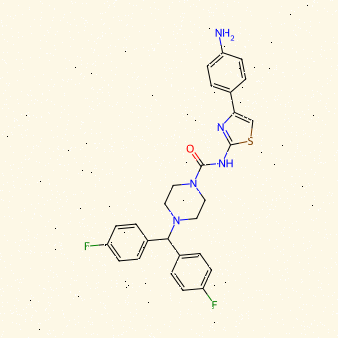 Nc1ccc(-c2csc(NC(=O)N3CCN(C(c4ccc(F)cc4)c4ccc(F)cc4)CC3)n2)cc1